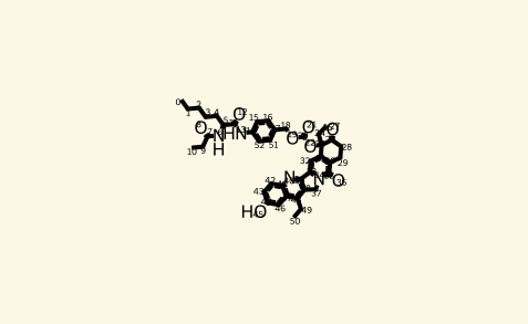 CCCCCC(NC(=O)CC)C(=O)Nc1ccc(COC(=O)OC2(CC)C(=O)CCc3c2cc2n(c3=O)Cc3c-2nc2ccc(O)cc2c3CC)cc1